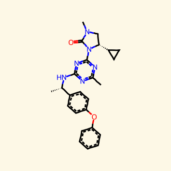 Cc1nc(N[C@@H](C)c2ccc(Oc3ccccc3)cc2)nc(N2C(=O)N(C)C[C@@H]2C2CC2)n1